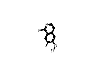 CCOc1cc2ccnc(F)c2cc1F